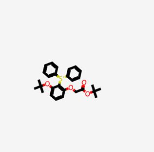 CC(C)(C)OC(=O)COc1cccc(OC(C)(C)C)c1[S+](c1ccccc1)c1ccccc1